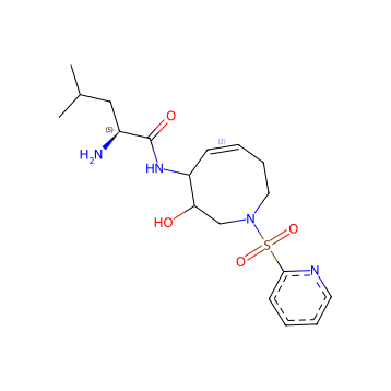 CC(C)C[C@H](N)C(=O)NC1/C=C\CCN(S(=O)(=O)c2ccccn2)CC1O